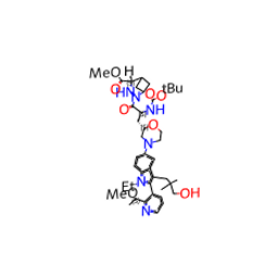 CCn1c(-c2cccnc2[C@H](C)OC)c(CC(C)(C)CO)c2cc(N3CCO[C@@H](C[C@H](NC(=O)OC(C)(C)C)C(=O)N4N[C@H](C(=O)OC)C5CC4C5)C3)ccc21